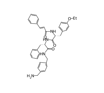 CCOc1ccc(C[C@@H](NC(=O)C=Cc2ccccc2)C(=O)N[C@@H](Cc2ccccc2)C(=O)NCc2ccc(CN)cc2)cc1